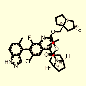 Cc1ccc2[nH]ncc2c1-c1c(Cl)cc2c(N3C[C@H]4CC[C@@H](C3)N4C(=O)OC(C)(C)C)nc(OC[C@@]34CCCN3C[C@H](F)C4)nc2c1F